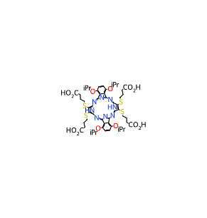 CC(C)Oc1ccc(OC(C)C)c2c1-c1nc-2nc2[nH]c(nc3nc(nc4[nH]c(n1)c(SCCCC(=O)O)c4SCCCC(=O)O)-c1c(OC(C)C)ccc(OC(C)C)c1-3)c(SCCCC(=O)O)c2SCCCC(=O)O